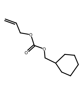 C=CCOC(=O)OCC1CCCCC1